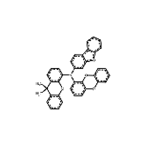 CC1(C)c2ccccc2Oc2c(N(c3ccc4c(c3)oc3ccccc34)c3cccc4c3Oc3ccccc3O4)cccc21